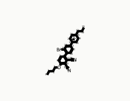 CCCCOc1ccc(-c2ccc(C34CCC(CCC)(CC3)CC4)cc2Br)c(C#N)c1C#N